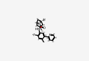 Cc1cc(F)c(NC(=O)N2C3C[C@H](C)C[C@@H]2C3)cc1-c1ccccn1